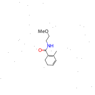 COCCNC(=O)C1=C(C)C=CCC1